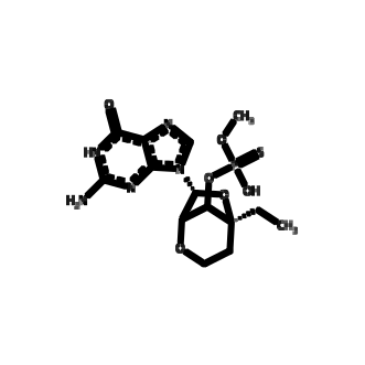 CC[C@]12CCOC(C1OP(O)(=S)OC)[C@H](n1cnc3c(=O)[nH]c(N)nc31)O2